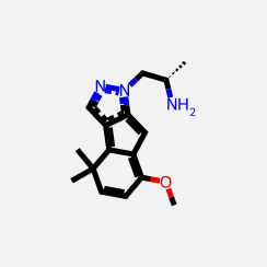 COC1=C2C=c3c(cnn3C[C@H](C)N)=C2C(C)(C)C=C1